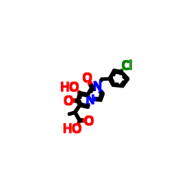 CC(C(=O)O)c1cn2ccn(Cc3cccc(Cl)c3)c(=O)c2c(O)c1=O